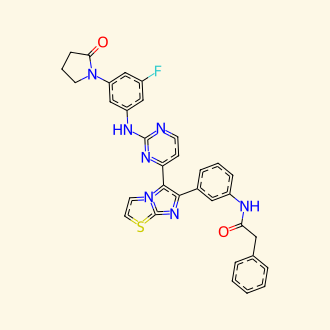 O=C(Cc1ccccc1)Nc1cccc(-c2nc3sccn3c2-c2ccnc(Nc3cc(F)cc(N4CCCC4=O)c3)n2)c1